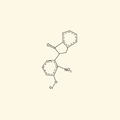 CCOc1cccc(C2Cc3ccccc3C2=O)c1[N+](=O)[O-]